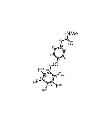 CNC(=O)Cc1ccc(OCc2c(F)c(F)c(F)c(F)c2F)cc1